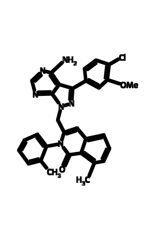 COc1cc(-c2nn(Cc3cc4cccc(C)c4c(=O)n3-c3ccccc3C)c3ncnc(N)c23)ccc1Cl